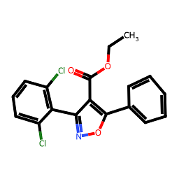 CCOC(=O)c1c(-c2c(Cl)cccc2Cl)noc1-c1ccccc1